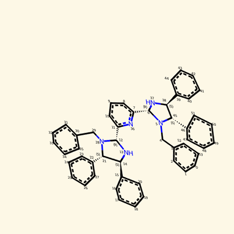 c1ccc(CN2[C@H](c3cccc([C@@H]4N[C@@H](c5ccccc5)[C@H](c5ccccc5)N4Cc4ccccc4)n3)N[C@@H](c3ccccc3)[C@@H]2c2ccccc2)cc1